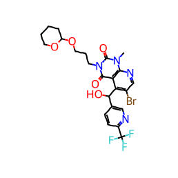 Cn1c(=O)n(CCCOC2CCCCO2)c(=O)c2c(C(O)c3ccc(C(F)(F)F)nc3)c(Br)cnc21